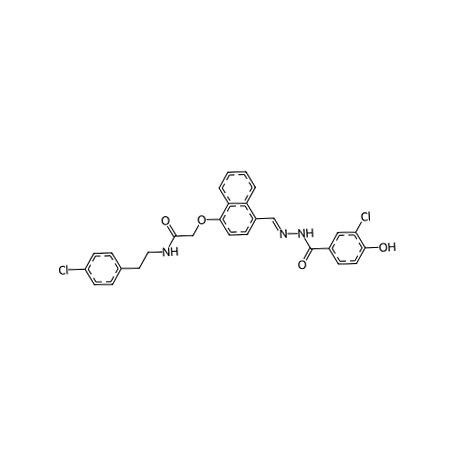 O=C(COc1ccc(C=NNC(=O)c2ccc(O)c(Cl)c2)c2ccccc12)NCCc1ccc(Cl)cc1